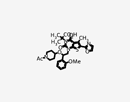 COc1ccccc1C(Cn1c(=O)n(C(C)(C)C(=O)O)c(=O)c2c(C)c(-c3ncco3)sc21)OC1CCN(C(C)=O)CC1